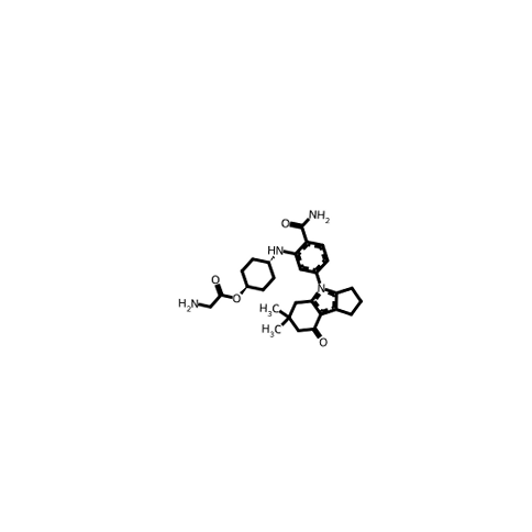 CC1(C)CC(=O)c2c3c(n(-c4ccc(C(N)=O)c(N[C@H]5CC[C@H](OC(=O)CN)CC5)c4)c2C1)CCC3